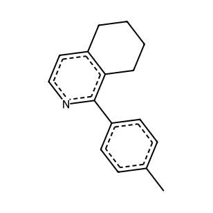 Cc1ccc(-c2nccc3c2CCCC3)cc1